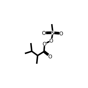 CC(C)C(C)C(=O)OOS(C)(=O)=O